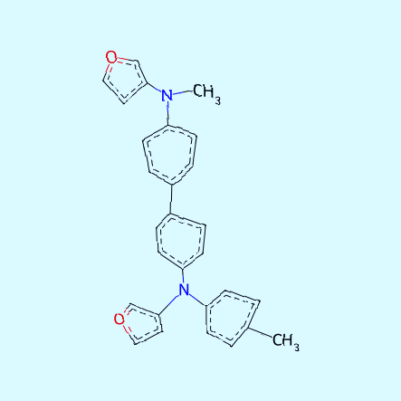 Cc1ccc(N(c2ccc(-c3ccc(N(C)c4ccoc4)cc3)cc2)c2ccoc2)cc1